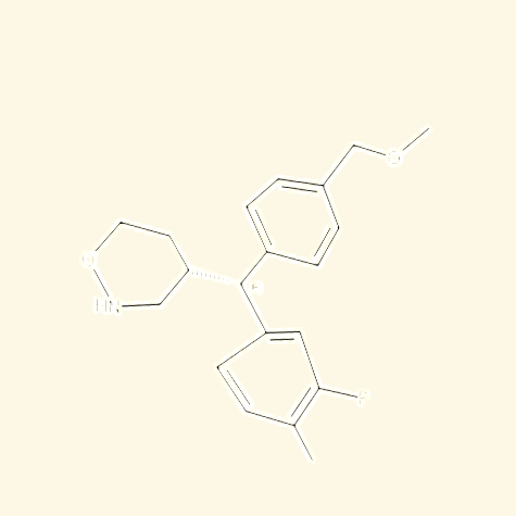 COCc1ccc([C@H](c2ccc(C)c(F)c2)C2CCONC2)cc1